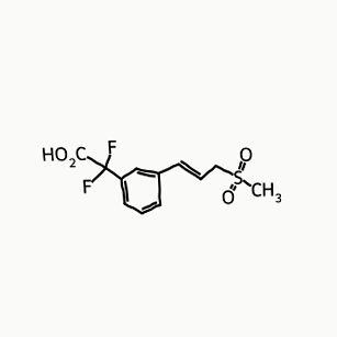 CS(=O)(=O)C/C=C/c1cccc(C(F)(F)C(=O)O)c1